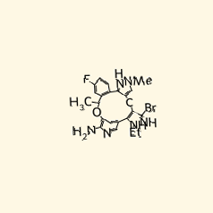 CCN/C1=C(\C(=N)Br)C/C(=C/NC)C(=N)c2ccc(F)cc2C(C)Oc2cc1cnc2N